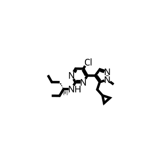 CCC[C@@H](CC)Nc1ncc(Cl)c(-c2cnn(C)c2CC2CC2)n1